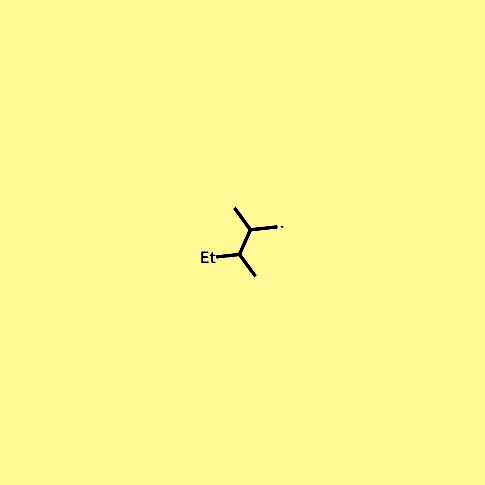 [CH2]C(C)C(C)CC